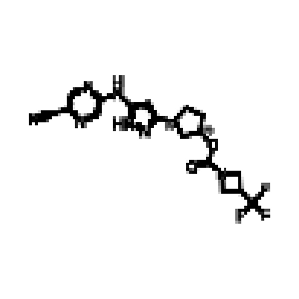 N#Cc1cnc(Nc2cc([C@H]3CC[C@@H](OC(=O)N4CC(C(F)(F)F)C4)C3)n[nH]2)cn1